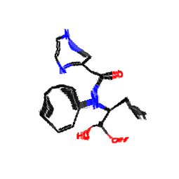 CC(C)C[C@@H](B(O)O)N(C(=O)c1cnccn1)c1ccccc1